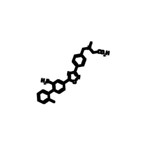 Bc1cc(-c2nc(-c3ccc(CN(C)CC(=O)O)cc3)no2)ccc1-c1ccccc1C